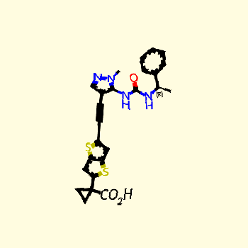 C[C@@H](NC(=O)Nc1c(C#Cc2cc3sc(C4(C(=O)O)CC4)cc3s2)cnn1C)c1ccccc1